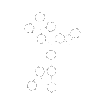 c1ccc(C2(c3ccccc3)c3ccccc3-c3ccc(N(c4ccc(-c5ccc(-c6ccccc6-n6c7ccccc7c7ccccc76)cc5)cc4)c4ccc5c(c4)sc4ccccc45)cc32)cc1